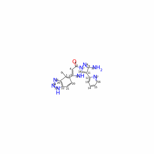 Cc1c(-c2cc(=O)n3nc(N)c(-c4ccccn4)c3[nH]2)ccc2[nH]nnc12